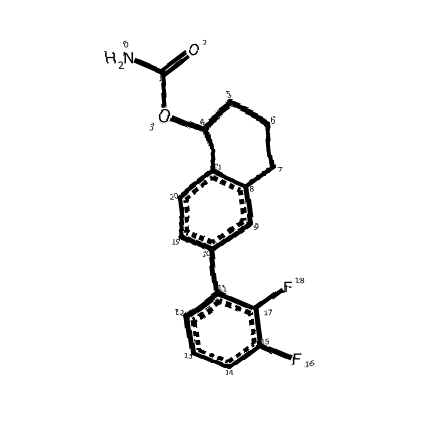 NC(=O)OC1CCCc2cc(-c3cccc(F)c3F)ccc21